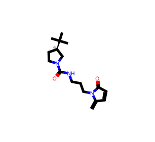 C=C1C=CC(=O)N1CCCNC(=O)N1CC[C@@H](C(C)(C)C)C1